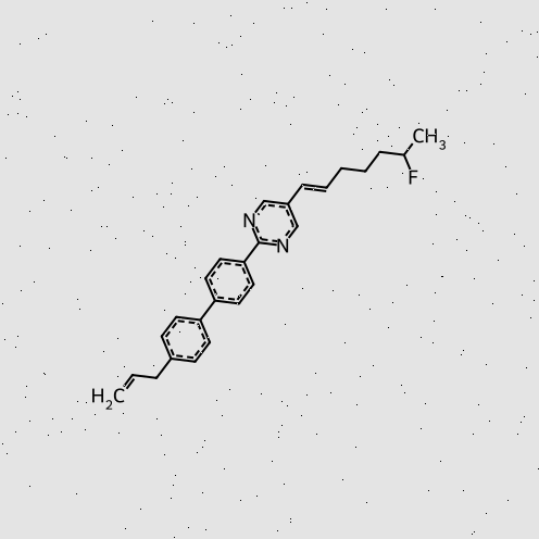 C=CCc1ccc(-c2ccc(-c3ncc(/C=C/CCCC(C)F)cn3)cc2)cc1